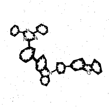 c1ccc(-c2nc(-c3ccccc3)nc(-c3cccc(-c4ccc5c(c4)c4ccccc4n5-c4ccc(-c5ccc6c(c5)oc5ccccc56)cc4)c3)n2)cc1